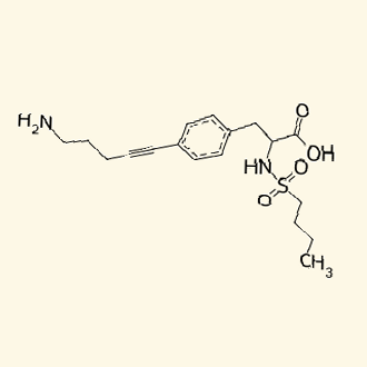 CCCCS(=O)(=O)NC(Cc1ccc(C#CCCCN)cc1)C(=O)O